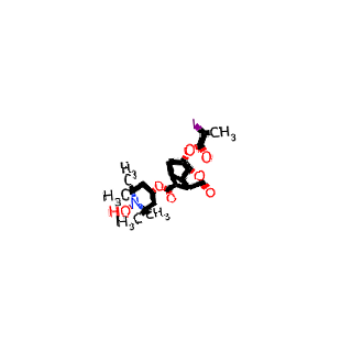 CC(I)C(=O)OC1C2CC3C1OC(=O)C3C2C(=O)OC1CC(C)(C)N(O)C(C)(C)C1